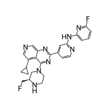 FC[C@H]1CN(c2nc(-c3ccnc(Nc4cccc(F)n4)c3)nc3cncc(C4CC4)c23)CCN1